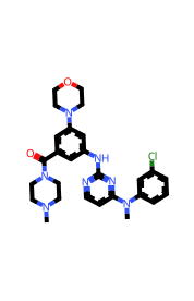 CN1CCN(C(=O)c2cc(Nc3nccc(N(C)c4cccc(Cl)c4)n3)cc(N3CCOCC3)c2)CC1